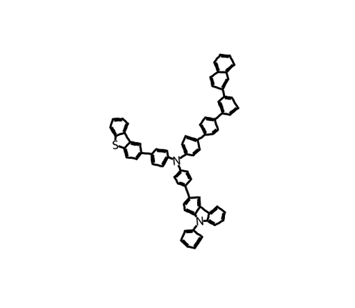 c1ccc(-n2c3ccccc3c3cc(-c4ccc(N(c5ccc(-c6ccc(-c7cccc(-c8ccc9ccccc9c8)c7)cc6)cc5)c5ccc(-c6ccc7sc8ccccc8c7c6)cc5)cc4)ccc32)cc1